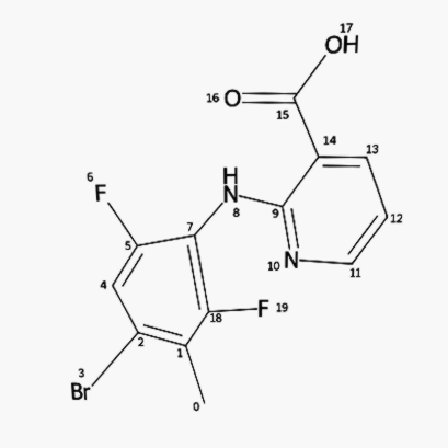 Cc1c(Br)cc(F)c(Nc2ncccc2C(=O)O)c1F